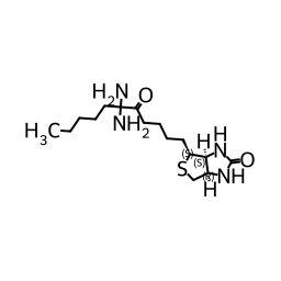 CCCCCC(N)(N)C(=O)CCCC[C@@H]1SC[C@@H]2NC(=O)N[C@@H]21